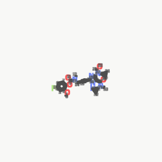 COc1cc(F)ccc1OC(=O)N(C)CC#Cc1nc(N(C=O)C2CC2)c(C(=O)N(C)C2CC2)[nH]1